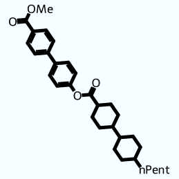 CCCCCC1CCC(C2CCC(C(=O)Oc3ccc(-c4ccc(C(=O)OC)cc4)cc3)CC2)CC1